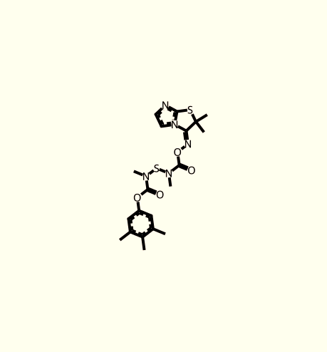 Cc1cc(OC(=O)N(C)SN(C)C(=O)ON=C2n3ccnc3SC2(C)C)cc(C)c1C